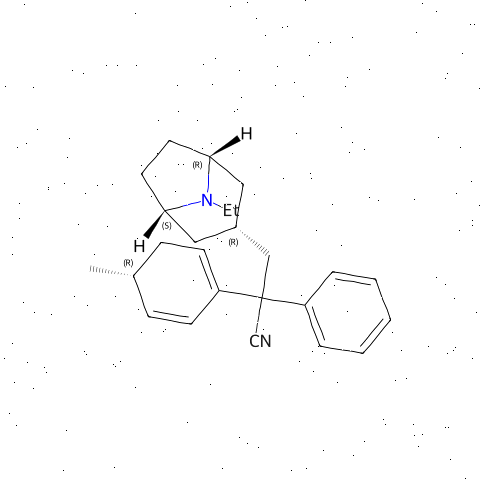 CCN1[C@@H]2CC[C@H]1C[C@@H](CC(C#N)(C1=CC[C@@H](C)C=C1)c1ccccc1)C2